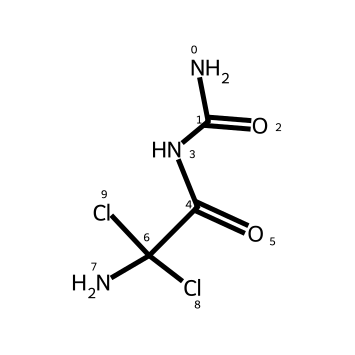 NC(=O)NC(=O)C(N)(Cl)Cl